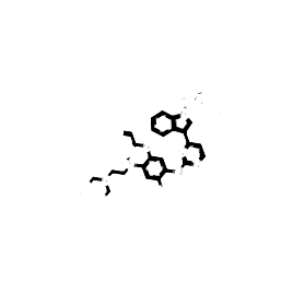 C=CC(=O)Nc1cc(Nc2nccc(-c3cn([S+]([O-])N(C)C)c4ccccc34)n2)c(OC)cc1N(C)CCN(CC)CC